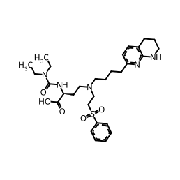 CCN(CC)C(=O)N[C@@H](CCN(CCCCc1ccc2c(n1)NCCC2)CCS(=O)(=O)c1ccccc1)C(=O)O